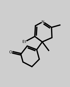 CCC1=CN=C(C)CC1(C)C1=CC(=O)CCC1